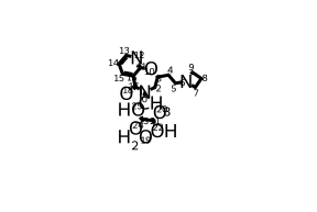 CN1CC(CCN2CCC2)Oc2ncccc2C1=O.O.O=C(O)C(=O)O